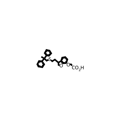 CC(CSCCC1COc2c(OCC(=O)O)cccc21)(c1ccccc1)c1ccccc1